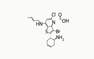 C/C=C/CNc1cc(Cl)nc2c(Br)c([C@H]3CC=CC[C@@H]3N)sc12.O=CO